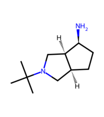 CC(C)(C)N1C[C@@H]2CC[C@H](N)[C@@H]2C1